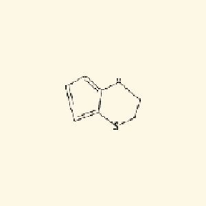 [C]1CCSc2ccccc21